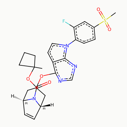 CC1(OC(=O)N2[C@H]3C=C[C@H]2CC(Oc2ncnc4c2ccn4-c2ccc(S(C)(=O)=O)cc2F)C3)CCC1